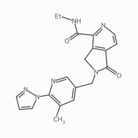 CCNC(=O)c1nccc2c1CN(Cc1cnc(-n3cccn3)c(C)c1)C2=O